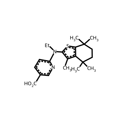 CCN(c1ccc(C(=O)O)cn1)c1sc2c(c1C)C(C)(C)CCC2(C)C